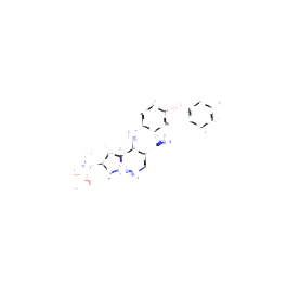 Cc1c(NS(C)(=O)=O)cn2ncc(C#N)c(Nc3ccc(Oc4ccccc4)cc3)c12